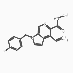 C=Cc1c(C(=O)NO)ncc2c1ccn2Cc1ccc(F)cc1